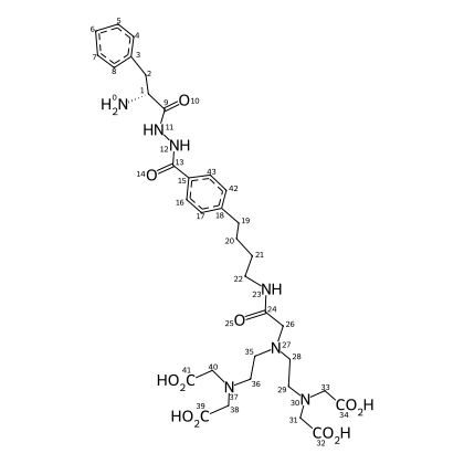 N[C@H](Cc1ccccc1)C(=O)NNC(=O)c1ccc(CCCCNC(=O)CN(CCN(CC(=O)O)CC(=O)O)CCN(CC(=O)O)CC(=O)O)cc1